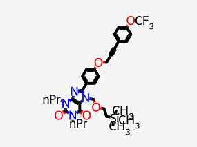 CCCn1c(=O)c2c(nc(-c3ccc(OCC#Cc4ccc(OC(F)(F)F)cc4)cc3)n2COCC[Si](C)(C)C)n(CCC)c1=O